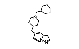 c1cc2cc(CC3CCN(CC4CCCCC4)CC3)ccn2n1